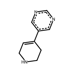 C1=C(c2cncnc2)CCNC1